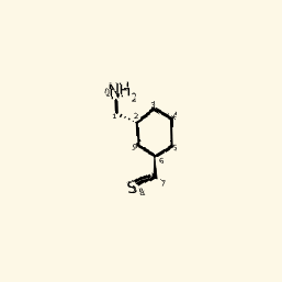 NC[C@@H]1CCC[C@@H](C=S)C1